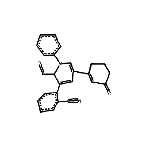 N#Cc1ccccc1C1=CC(C2=CC(=O)CCC2)=CN(c2ccccc2)C1C=O